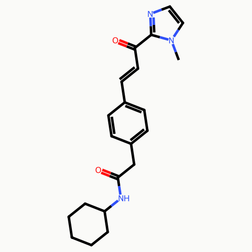 Cn1ccnc1C(=O)/C=C/c1ccc(CC(=O)NC2CCCCC2)cc1